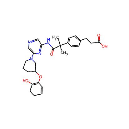 CC(C)(C(=O)Nc1cncc(N2CCCC(OC3=C(O)CCC=C3)C2)n1)c1ccc(CCC(=O)O)cc1